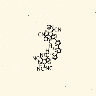 [C-]#[N+]/C(C#N)=C1/c2c(sc(-c3ccc(-c4ccc(-c5ccc(-c6sc7c(c6C)/C(=C(/C#N)[N+]#[C-])C(F)(F)/C7=C(\C#N)[N+]#[C-])s5)s4)s3)c2C)/C(=C(\C#N)[N+]#[C-])C1(F)F